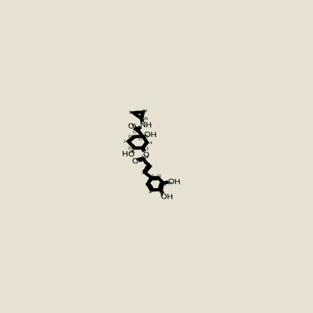 O=C(/C=C/c1ccc(O)c(O)c1)OC1C[C@](O)(C(=O)NC2CC2)CC[C@H]1O